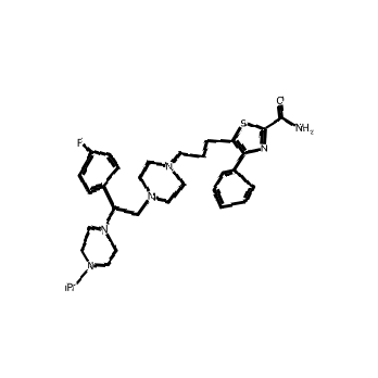 CC(C)N1CCN(C(CN2CCN(CCCc3sc(C(N)=O)nc3-c3ccccc3)CC2)c2ccc(F)cc2)CC1